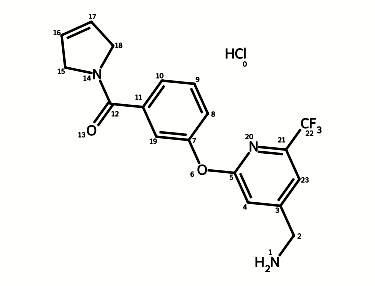 Cl.NCc1cc(Oc2cccc(C(=O)N3CC=CC3)c2)nc(C(F)(F)F)c1